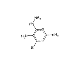 NNc1nc(N)cc(Br)c1N